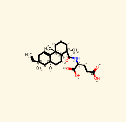 C=C[C@@]1(C)CC=C2[C@@H](CC[C@@H]3[C@](C)(C(=O)N[C@@H](CCC(=O)O)C(=O)O)CCC[C@@]23C)C1